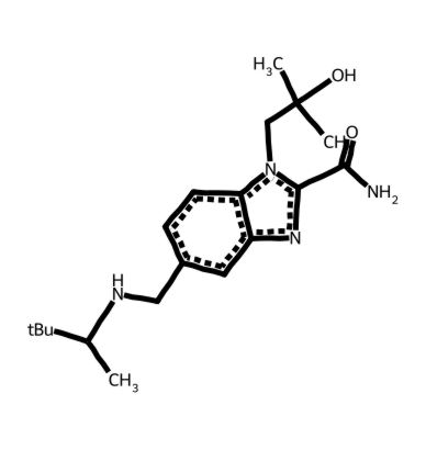 CC(NCc1ccc2c(c1)nc(C(N)=O)n2CC(C)(C)O)C(C)(C)C